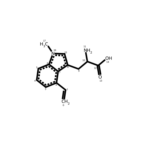 C=Cc1cccc2c1c(CC(N)C(=O)O)cn2C